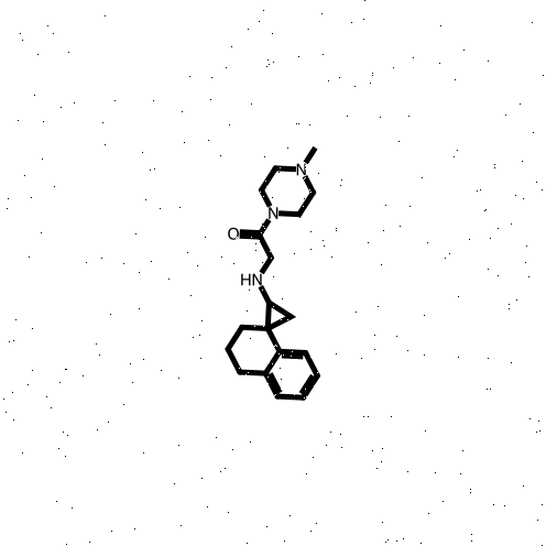 CN1CCN(C(=O)CNC2CC23CCCc2ccccc23)CC1